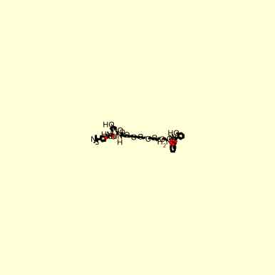 Cc1ncsc1-c1ccc(CNC(=O)[C@@H]2C[C@@H](O)CN2C(=O)[C@@H](NC(=O)COCCOCCOCCOCCOCCOCCOc2cc(N3C4CCC3CN(c3cc(-c5ccccc5O)nnc3N)C4)ccn2)C(C)(C)C)cc1